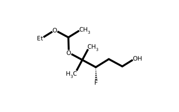 CCOC(C)OC(C)(C)[C@@H](F)CCO